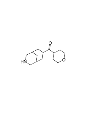 O=C(C1CCOCC1)C1CC2CNCC(C2)C1